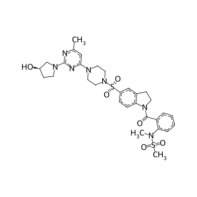 Cc1cc(N2CCN(S(=O)(=O)c3ccc4c(c3)CCN4C(=O)c3ccccc3N(C)S(C)(=O)=O)CC2)nc(N2CC[C@@H](O)C2)n1